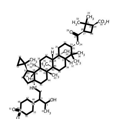 CC(O)C(CN[C@]12CC[C@@H](C3(C)CC3)[C@@H]1[C@H]1CC[C@@H]3[C@@]4(C)CC[C@H](OC(=O)[C@@H]5C[C@H](C(=O)O)C5(C)C)C(C)(C)[C@@H]4CC[C@@]3(C)[C@]1(C)CC2)N1CCS(=O)(=O)CC1